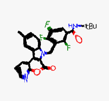 Cc1ccc2c(c1)c1c3cccnc3oc(=O)c1n2Cc1c(F)c(F)cc(C(=O)NC(C)(C)C)c1F